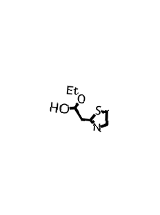 CCOC(O)CC1=NCCS1